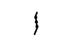 CCCCCCCCCCc1ccc(C#Cc2ccc(C#Cc3ccc(CCCCCC)cc3)cc2)cc1